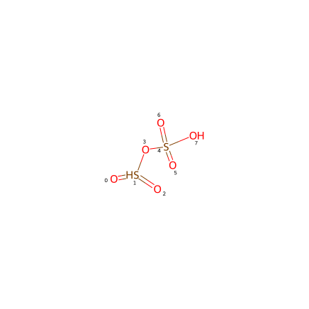 O=[SH](=O)OS(=O)(=O)O